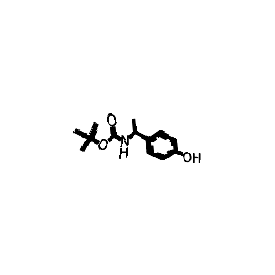 CC(NC(=O)OC(C)(C)C)c1ccc(O)cc1